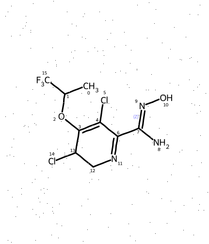 CC(OC1=C(Cl)C(/C(N)=N/O)=NCC1Cl)C(F)(F)F